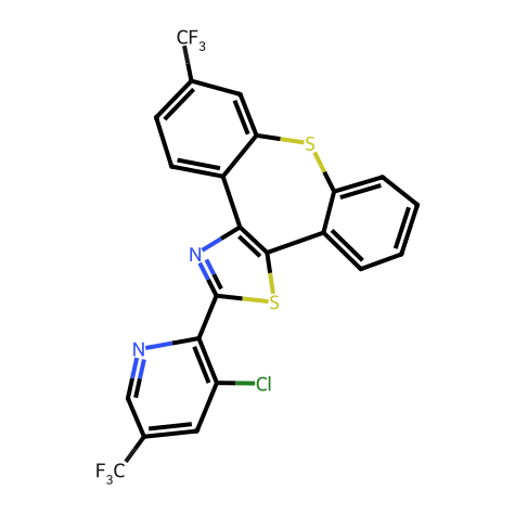 FC(F)(F)c1cnc(-c2nc3c(s2)-c2ccccc2Sc2cc(C(F)(F)F)ccc2-3)c(Cl)c1